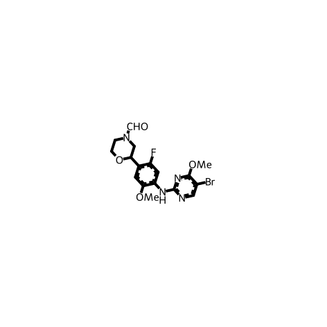 COc1cc(C2CN(C=O)CCO2)c(F)cc1Nc1ncc(Br)c(OC)n1